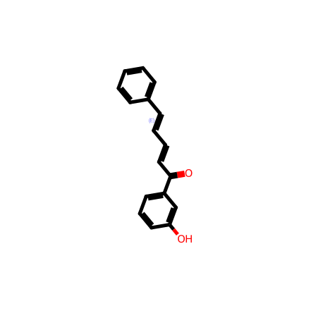 O=C(C=C/C=C/c1ccccc1)c1cccc(O)c1